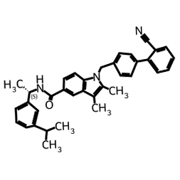 Cc1c(C)n(Cc2ccc(-c3ccccc3C#N)cc2)c2ccc(C(=O)N[C@@H](C)c3cccc(C(C)C)c3)cc12